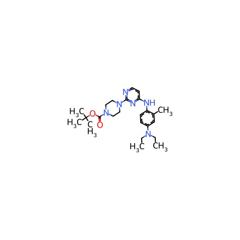 CCN(CC)c1ccc(Nc2ccnc(N3CCN(C(=O)OC(C)(C)C)CC3)n2)c(C)c1